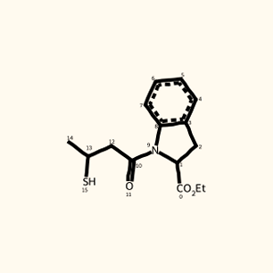 CCOC(=O)C1Cc2ccccc2N1C(=O)CC(C)S